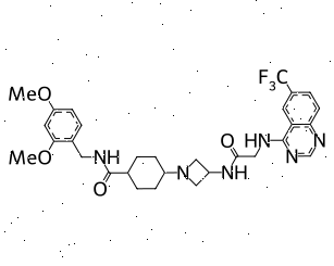 COc1ccc(CNC(=O)C2CCC(N3CC(NC(=O)CNc4ncnc5ccc(C(F)(F)F)cc45)C3)CC2)c(OC)c1